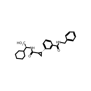 O=C(NCc1ccccc1)c1cccc([C@@H]2CC2C(=O)N[C@H](C(=O)O)C2CCCCC2)c1